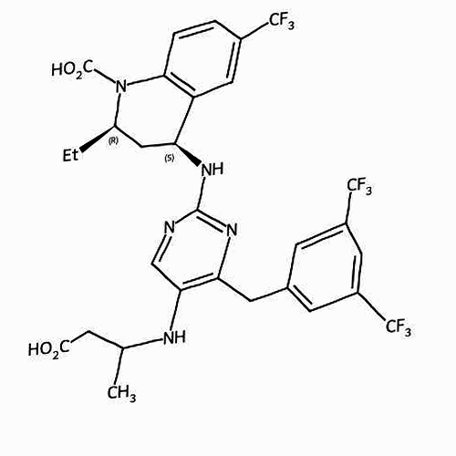 CC[C@@H]1C[C@H](Nc2ncc(NC(C)CC(=O)O)c(Cc3cc(C(F)(F)F)cc(C(F)(F)F)c3)n2)c2cc(C(F)(F)F)ccc2N1C(=O)O